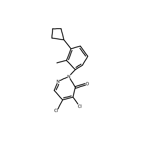 Cc1c(C2CCC2)cccc1-n1ncc(Cl)c(Cl)c1=O